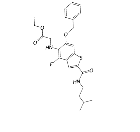 CCOC(=O)CNc1c(OCc2ccccc2)cc2sc(C(=O)NCCC(C)C)cc2c1F